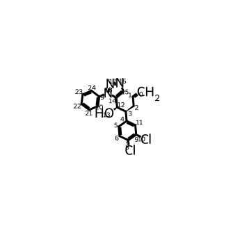 C=CC[C@@H](c1ccc(Cl)c(Cl)c1)[C@@H](O)c1cnnn1-c1ccccc1